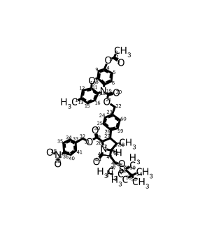 CC(=O)Oc1ccc2c(c1)Oc1cc(C)ccc1N2C(=O)OCc1ccc(C2C(C(=O)OCc3ccc([N+](=O)[O-])cc3)N3C(=O)[C@H]([C@@H](C)O[Si](C)(C)C(C)(C)C)[C@H]3[C@H]2C)cc1